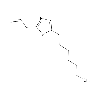 CCCCCCCc1cnc(CC=O)s1